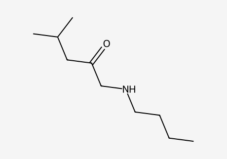 CCCCNCC(=O)CC(C)C